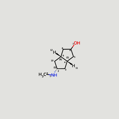 CN[C@H]1C[C@H]2CC(O)C[C@H]2C1